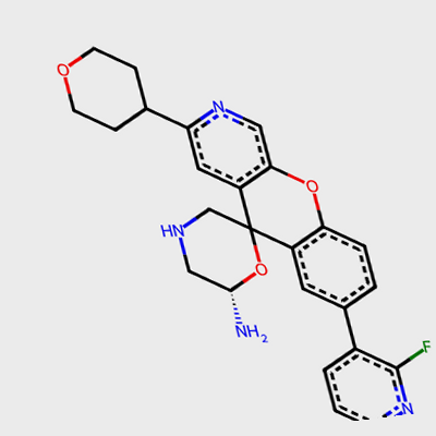 N[C@@H]1CNCC2(O1)c1cc(-c3cccnc3F)ccc1Oc1cnc(C3CCOCC3)cc12